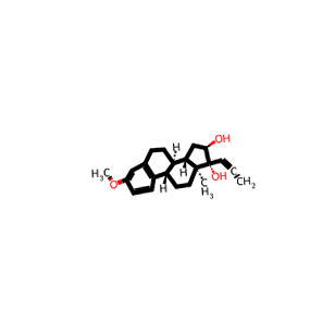 C=C=C[C@]1(O)[C@H](O)C[C@H]2[C@@H]3CCc4cc(OC)ccc4[C@H]3CC[C@@]21C